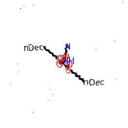 CCCCCCCCCCCCCCCCCCOC(=O)C[C@H](NC(=O)OCCCN(C)C)C(=O)OCCCCCCCCCCCCCCCCCC